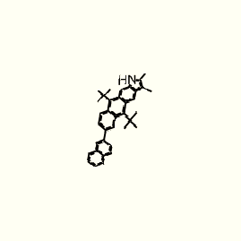 Cc1[nH]c2cc3c(C(C)(C)C)c4ccc(-c5ccc6ccccc6c5)cc4c(C(C)(C)C)c3cc2c1C